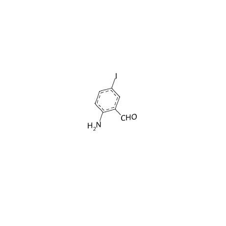 Nc1ccc(I)cc1C=O